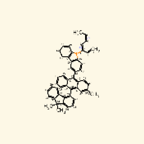 C=C/C(=C\C=C/C)p1c2c(c3cc(-c4c5ccccc5c(-c5cccc6c5-c5ccccc5C6(C)C)c5cc(C)ccc45)ccc31)CCC=C2